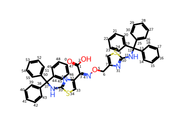 O=C(O)/C(=N\OCc1csc(NC(c2ccccc2)(c2ccccc2)c2ccccc2)n1)c1csc(NC(c2ccccc2)(c2ccccc2)c2ccccc2)n1